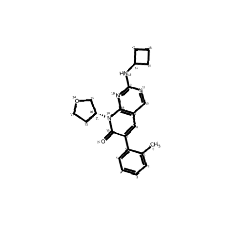 Cc1ccccc1-c1cc2cnc(NC3CCC3)nc2n([C@@H]2CCOC2)c1=O